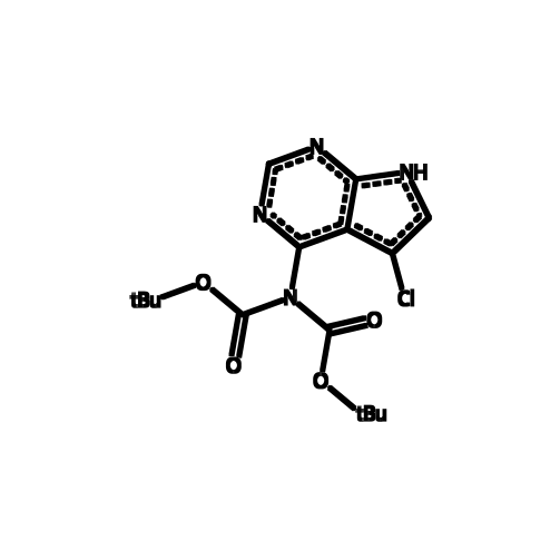 CC(C)(C)OC(=O)N(C(=O)OC(C)(C)C)c1ncnc2[nH]cc(Cl)c12